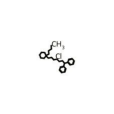 CCCCCC1(CCCC(Cl)CCC(c2ccccc2)c2ccccc2)CCCCC1